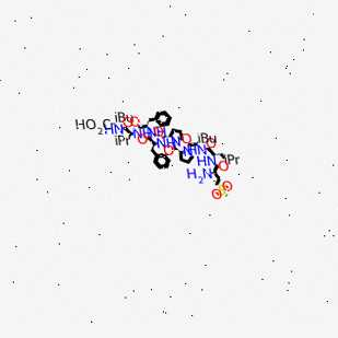 CC[C@H](C)[C@H](NC(=O)[C@@H](NC(=O)[C@H](Cc1ccccc1)NC(=O)[C@H](Cc1ccccc1)NC(=O)[C@@H]1CCCN1C(=O)[C@@H]1CCCN1C(=O)[C@@H](NC(=O)[C@H](CC(C)C)NC(=O)[C@@H](N)CCS(C)(=O)=O)[C@@H](C)CC)C(C)C)C(=O)O